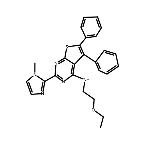 CCOCCNc1nc(-c2nccn2C)nc2sc(-c3ccccc3)c(-c3ccccc3)c12